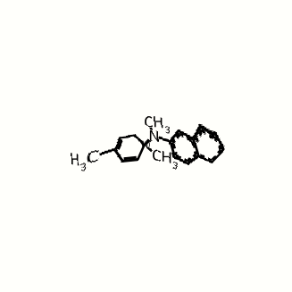 CC1=CC[C@](C)(N(C)c2ccc3ccccc3c2)C=C1